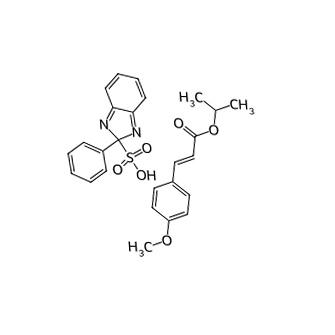 COc1ccc(C=CC(=O)OC(C)C)cc1.O=S(=O)(O)C1(c2ccccc2)N=c2ccccc2=N1